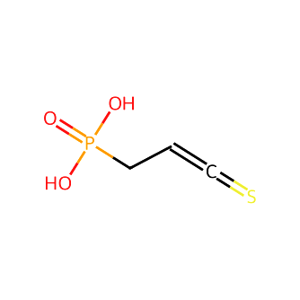 O=P(O)(O)CC=C=S